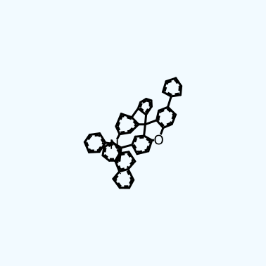 c1ccc(-c2ccc3c(c2)C2(c4cc(-c5ccccc5)ccc4O3)c3ccccc3-c3ccc(N(c4ccccc4)c4ccc5ccccc5c4)cc32)cc1